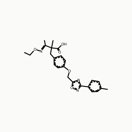 CCON=C(C)C(C)(Cc1ccc(OCc2nc(-c3ccc(C)cc3)no2)cc1)C(=O)O